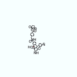 CN(C)c1ccc2c(-c3ccc(C(=O)NCc4ccc(C(=O)ON5C(=O)CCC5=O)cc4)cc3C(=O)O)c3ccc(=N)cc-3oc2c1